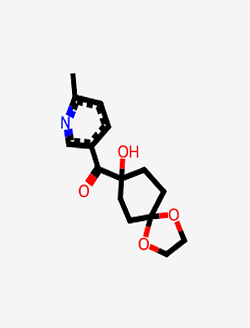 Cc1ccc(C(=O)C2(O)CCC3(CC2)OCCO3)cn1